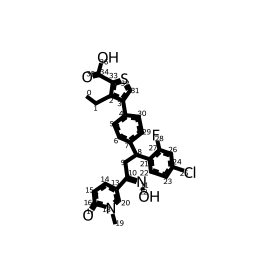 CCc1c(-c2ccc(C(CC(=NO)c3ccc(=O)n(C)c3)c3ccc(Cl)cc3F)cc2)csc1C(=O)O